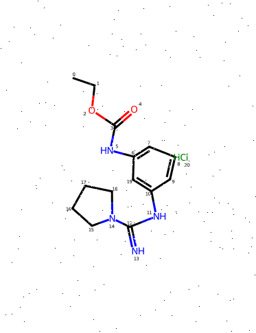 CCOC(=O)Nc1cccc(NC(=N)N2CCCC2)c1.Cl